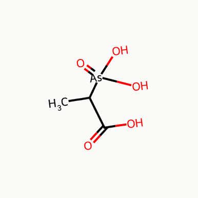 CC(C(=O)O)[As](=O)(O)O